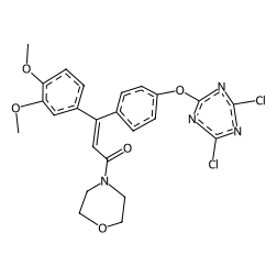 COc1ccc(C(=CC(=O)N2CCOCC2)c2ccc(Oc3nc(Cl)nc(Cl)n3)cc2)cc1OC